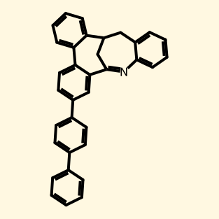 c1ccc(-c2ccc(-c3ccc4c(c3)C3=Nc5ccccc5CC(C3)c3ccccc3-4)cc2)cc1